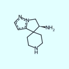 N[C@@H]1Cn2nccc2C12CCNCC2